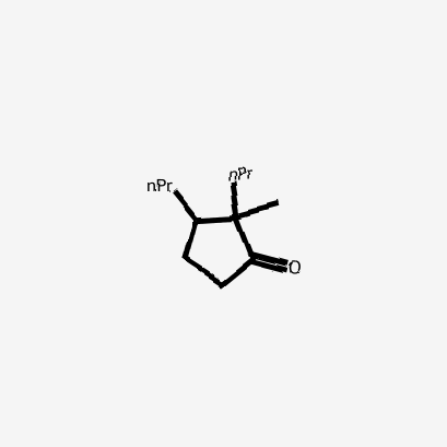 CCCC1CCC(=O)C1(C)CCC